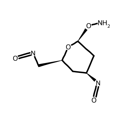 NO[C@H]1C[C@@H](N=O)C[C@@H](CN=O)O1